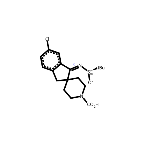 CC(C)(C)[S@@+]([O-])/N=C1/c2cc(Cl)ccc2CC12CCN(C(=O)O)CC2